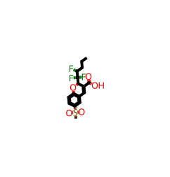 CCCC(F)C(F)(F)C1Oc2ccc(S(C)(=O)=O)cc2C=C1C(=O)O